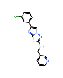 Clc1cccc(-c2cn3nc(NCc4cccnc4)sc3n2)c1